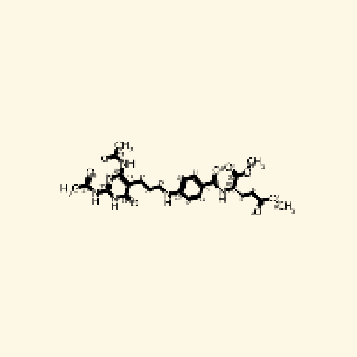 COC(=O)CC[C@@H](NC(=O)c1ccc(NCCCc2c(NC(C)=O)nc(NC(C)=O)[nH]c2=O)cc1)C(=O)OC